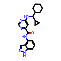 O=C(Nc1cccc2[nH]ncc12)c1cc(NC(C2CCCCC2)C2CC2)ncn1